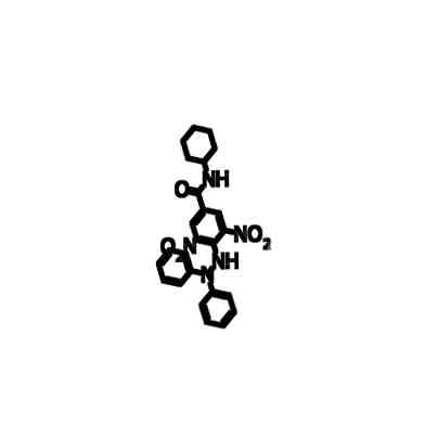 O=C(NC1CCCCC1)c1cc([N+](=O)[O-])c(NN(c2ccccc2)c2ccccc2)c([N+](=O)[O-])c1